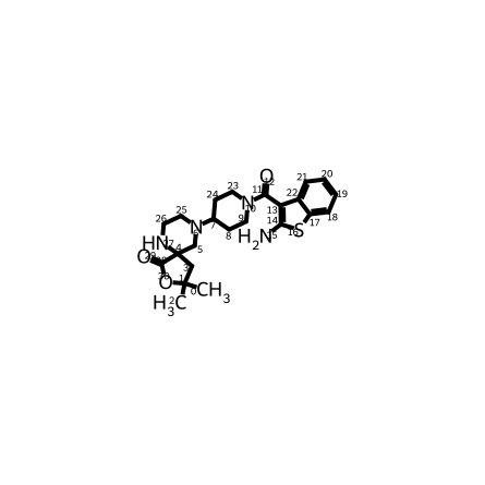 CC1(C)CC2(CN(C3CCN(C(=O)c4c(N)sc5ccccc45)CC3)CCN2)C(=O)O1